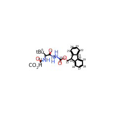 CC(C)(C)C(NC(=O)C(=O)O)C(=O)NNC(=O)OCC1c2ccccc2-c2ccccc21